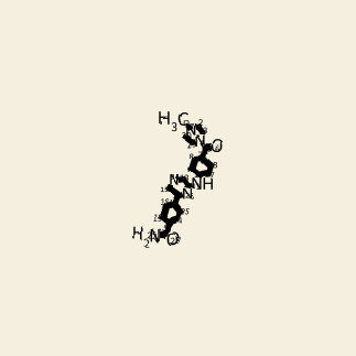 CN1CCN(C(=O)c2ccc(Nc3cncc(-c4ccc(C(N)=O)cc4)n3)cc2)CC1